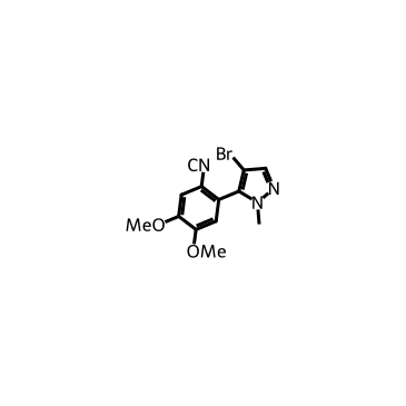 COc1cc(C#N)c(-c2c(Br)cnn2C)cc1OC